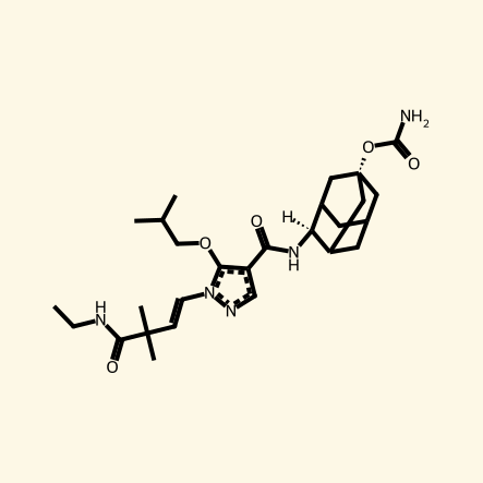 CCNC(=O)C(C)(C)/C=C/n1ncc(C(=O)N[C@H]2C3CC4CC2C[C@](OC(N)=O)(C4)C3)c1OCC(C)C